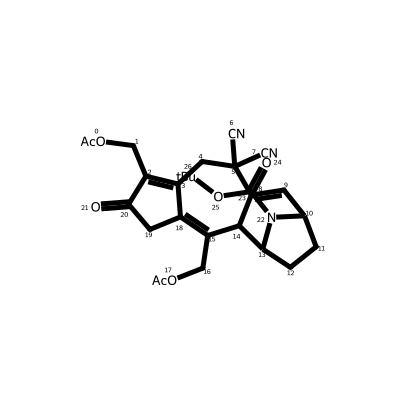 CC(=O)OCC1=C2CC(C#N)(C#N)C3=CC4CCC(C3C(COC(C)=O)=C2CC1=O)N4C(=O)OC(C)(C)C